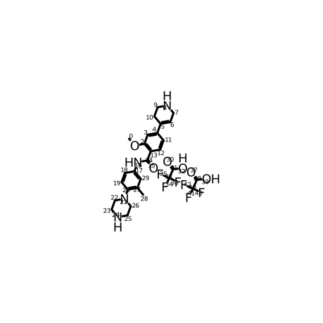 COc1cc(C2=CCNCC2)ccc1C(=O)Nc1ccc(N2CCNCC2)c(C)c1.O=C(O)C(F)(F)F.O=C(O)C(F)(F)F